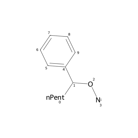 CCCCCC(O[N])c1ccccc1